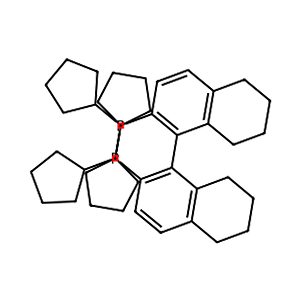 c1cc(P(C2CCCC2)C2CCCC2)c(-c2c(P(C3CCCC3)C3CCCC3)ccc3c2CCCC3)c2c1CCCC2